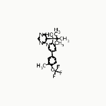 Cc1cc(-c2ccc(C(O)(c3cncnc3)C(C)(C)C)nc2)ccc1OC(F)(F)F